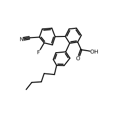 CCCCCc1ccc(-c2c(C(=O)O)cccc2-c2ccc(C#N)c(F)c2)cc1